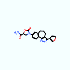 NC(=O)C1CN(c2ccc3c(c2)CCCc2c(-c4ccoc4)n[nH]c2-3)C(=O)O1